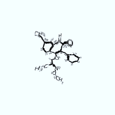 CON=C(C)COc1c(-c2ccccc2)c(=O)[nH]c2cc(Cl)ccc12